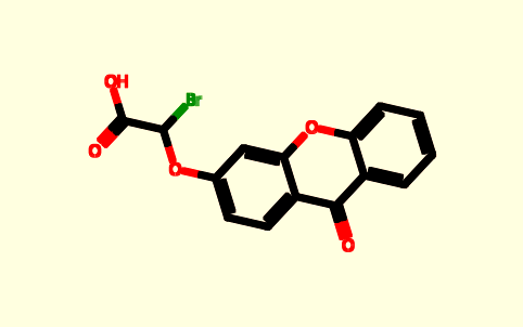 O=C(O)C(Br)Oc1ccc2c(=O)c3ccccc3oc2c1